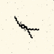 CCCCCCCC(CCCCCC)c1cc2cc3sc(CCCCCC)cc3cc2s1